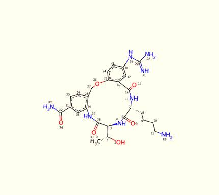 C[C@@H](O)[C@@H]1NC(=O)[C@@H](CCCCN)NC(=O)c2cc(NC(=N)N)ccc2OCc2ccc(C(N)=O)cc2NC1=O